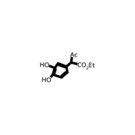 CCOC(=O)C(C(C)=O)c1ccc(O)c(O)c1